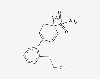 NS(=O)(=O)C1(S(=O)(=O)O)C=CC(c2ccccc2CCO)=CC1